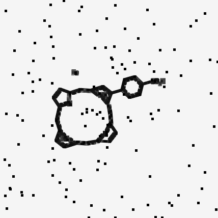 O=S(=O)(O)c1ccc(-c2cc3cc4nc(cc5ccc(cc6nc(cc2[nH]3)C=C6)[nH]5)C=C4)cc1.[Fe]